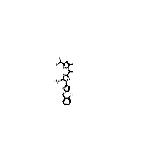 Cc1cc(C(F)F)nn1C(C)C1=NN(c2ccn(Cc3ccccc3Cl)n2)C(N)S1